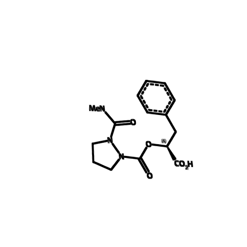 CNC(=O)N1CCCN1C(=O)O[C@@H](Cc1ccccc1)C(=O)O